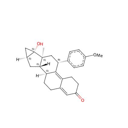 COc1ccc([C@H]2C[C@@]3(C)[C@@H](C[C@H]4C[C@]43O)[C@@H]3CCC4=CC(=O)CCC4=C32)cc1